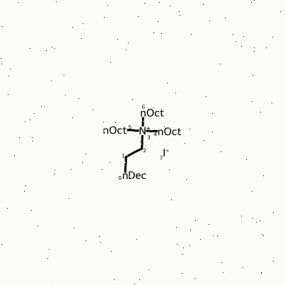 CCCCCCCCCCCC[N+](CCCCCCCC)(CCCCCCCC)CCCCCCCC.[I-]